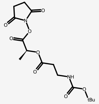 C[C@H](OC(=O)CCNC(=O)OC(C)(C)C)C(=O)ON1C(=O)CCC1=O